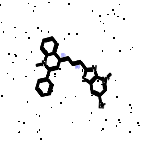 CN1C(c2ccccc2)=C/C(=C\C=C\c2nc3c(cc(Br)c[n+]3C)s2)c2ccccc21